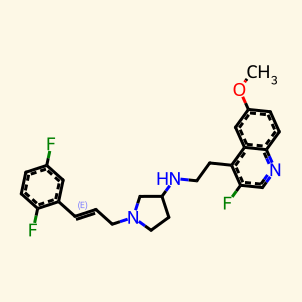 COc1ccc2ncc(F)c(CCNC3CCN(C/C=C/c4cc(F)ccc4F)C3)c2c1